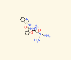 NCCN(CCN)C(=O)C[C@H](N)C(=O)N[C@H](C(=O)Nc1cnc2ccccc2c1)c1ccccc1